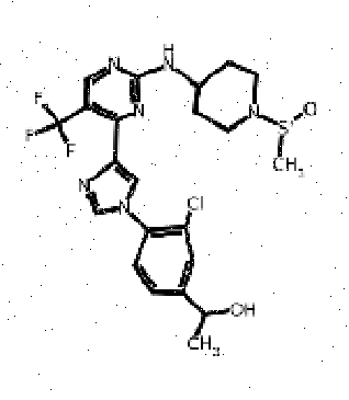 CC(O)c1ccc(-n2cnc(-c3nc(NC4CCN([S+](C)[O-])CC4)ncc3C(F)(F)F)c2)c(Cl)c1